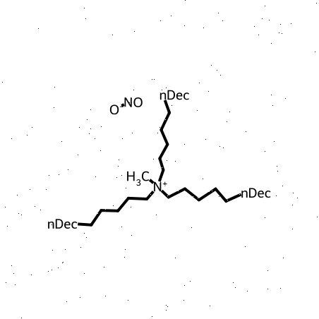 CCCCCCCCCCCCCCC[N+](C)(CCCCCCCCCCCCCCC)CCCCCCCCCCCCCCC.O=N[O-]